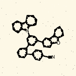 N#Cc1ccc(-c2ccccc2-c2cc(-c3ccc4oc5ccccc5c4c3)cc(-n3c4ccccc4c4ccccc43)c2)cc1